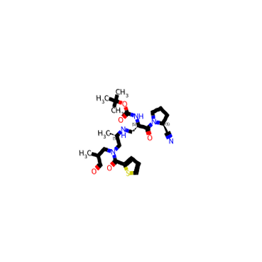 CC(C=O)CN(C[C@H](C)NC[C@H](NC(=O)OC(C)(C)C)C(=O)N1CCC[C@H]1C#N)C(=O)c1cccs1